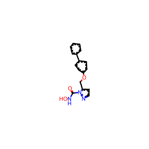 O=C(NO)n1nccc1COc1ccc(-c2ccccc2)cc1